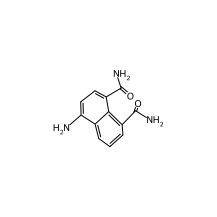 NC(=O)c1cccc2c(N)ccc(C(N)=O)c12